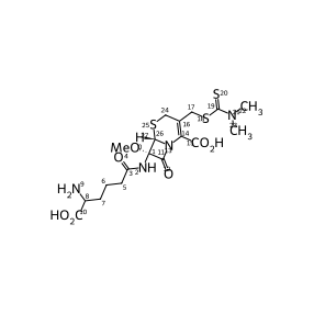 CO[C@@]1(NC(=O)CCCC(N)C(=O)O)C(=O)N2C(C(=O)O)=C(CSC(=S)N(C)C)CS[C@H]21